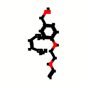 C=COCCOc1ccc(CO)cc1.O=C(O)/C=C\C(=O)O